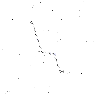 CC(CCC/C=C/C=C\CCCCCCCO)CCCC/C=C/CCCCCCC=O